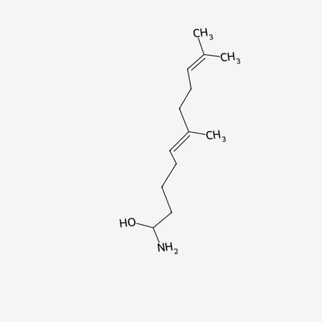 CC(C)=CCC/C(C)=C/CCCC(N)O